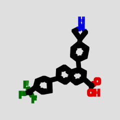 O=C(O)c1cc(-c2ccc(C3CNC3)cc2)c2ccc(-c3ccc(C(F)(F)F)cc3)cc2c1